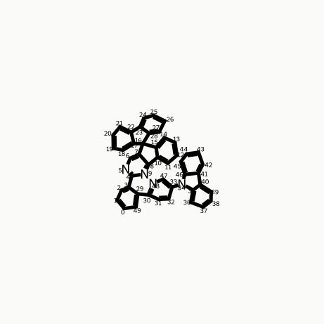 c1ccc(-c2ncc3c(n2)-c2ccccc2C32c3ccccc3-c3ccccc32)c(-c2ccc(-n3c4ccccc4c4ccccc43)cn2)c1